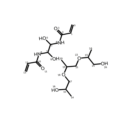 C=CC(=O)NC(O)C(O)NC(=O)C=C.CC(O)COC(C)COC(C)CO